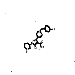 NC(=O)c1c(-c2ccc(Cc3ccc(Cl)cc3)cc2)nn(C2CCCNC2)c1N